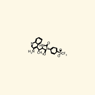 CC(c1c(N)cnc2ccccc12)C1NC(=O)N(c2ccc(S(=O)(=O)C(F)(F)F)cc2)C1=O